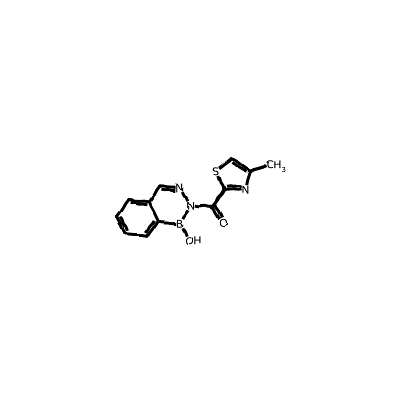 Cc1csc(C(=O)N2N=Cc3ccccc3B2O)n1